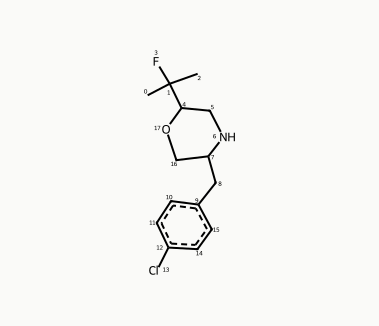 CC(C)(F)C1CNC(Cc2ccc(Cl)cc2)CO1